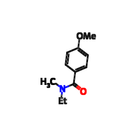 [CH2]CN(C)C(=O)c1ccc(OC)cc1